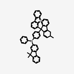 CC1C=CC2=C(C1)c1ccccc1C2(c1ccc(N(c2ccccc2)c2ccc3c(c2)C(C)(C)c2ccccc2-3)cc1)c1cccc2c1oc1ccccc12